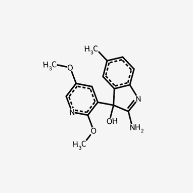 COc1cnc(OC)c(C2(O)C(N)=Nc3ccc(C)cc32)c1